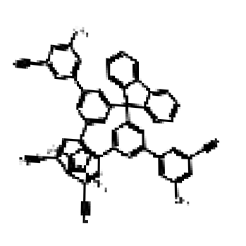 Cc1cc(C#N)cc(-c2cc(-c3cc(C)cc(C#N)c3)cc(C3(c4cc(-c5cc(C)cc(C#N)c5)cc(-c5cc(C)cc(C#N)c5)c4)c4ccccc4-c4ccccc43)c2)c1